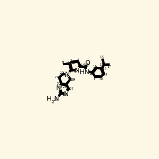 Cc1ccc(C(=O)Nc2cccc(C(C)C)c2)nc1N1CCc2nc(N)ncc2C1